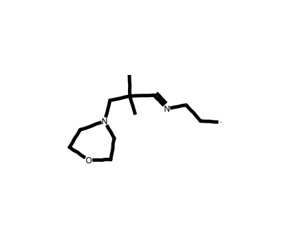 [CH2]CCN=CC(C)(C)CN1CCOCC1